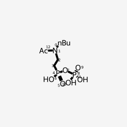 CCCCN(CCP(=O)(O)OP(=O)(O)O)C(C)=O